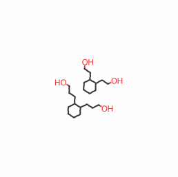 OCCC1CCCCC1CCO.OCCCC1CCCCC1CCCO